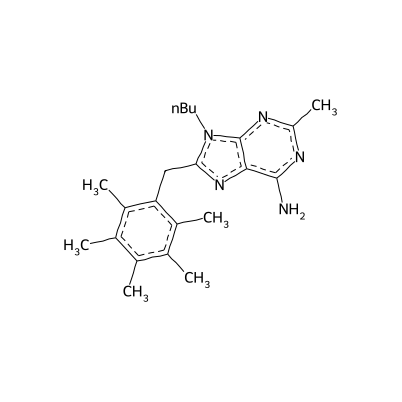 CCCCn1c(Cc2c(C)c(C)c(C)c(C)c2C)nc2c(N)nc(C)nc21